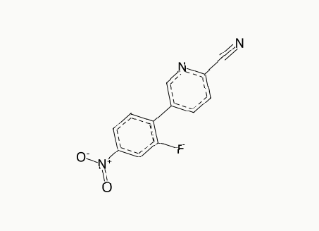 N#Cc1ccc(-c2ccc([N+](=O)[O-])cc2F)cn1